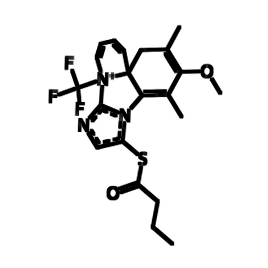 CCCC(=O)Sc1cnc2n1C1=C(C)C(OC)=C(C)CC13C=CC=C[N+]23C(F)(F)F